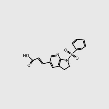 O=C(O)C=Cc1cnc2c(c1)CCN2S(=O)(=O)c1ccccc1